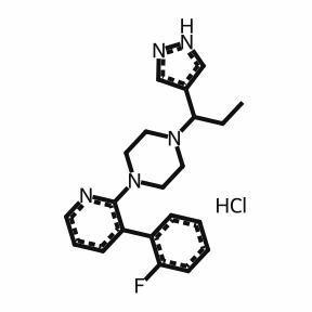 CCC(c1cn[nH]c1)N1CCN(c2ncccc2-c2ccccc2F)CC1.Cl